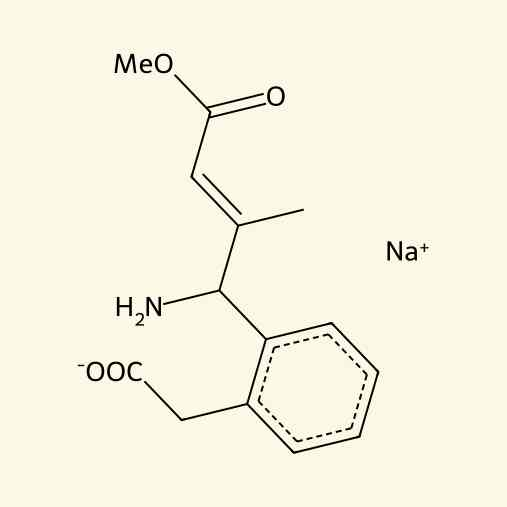 COC(=O)/C=C(\C)C(N)c1ccccc1CC(=O)[O-].[Na+]